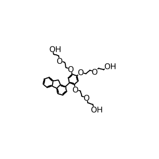 OCCOCCOc1cc(OCCOCCO)c(-c2cccc3c2Cc2ccccc2-3)cc1OCCOCCO